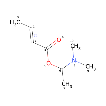 C/C=C/C(=O)OC(C)N(C)C